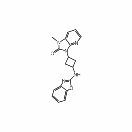 Cn1c(=O)n(C2CC(Nc3nc4ccccc4o3)C2)c2ncccc21